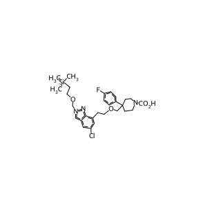 C[Si](C)(C)CCOCn1cc2cc(Cl)cc(CCOCC3(c4ccc(F)cc4)CCN(C(=O)O)CC3)c2n1